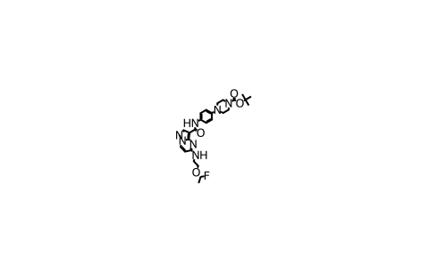 CC(F)OCCNc1ccn2ncc(C(=O)Nc3ccc(N4CCN(C(=O)OC(C)(C)C)CC4)cc3)c2n1